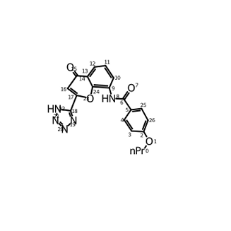 CCCOc1ccc(C(=O)Nc2cccc3c(=O)cc(-c4nnn[nH]4)oc23)cc1